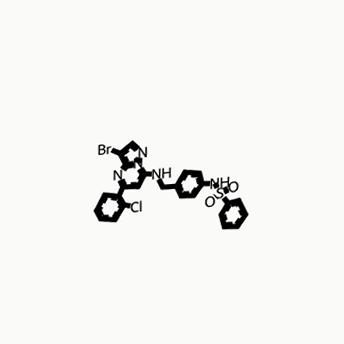 O=S(=O)(Nc1ccc(CNc2cc(-c3ccccc3Cl)nc3c(Br)cnn23)cc1)c1ccccc1